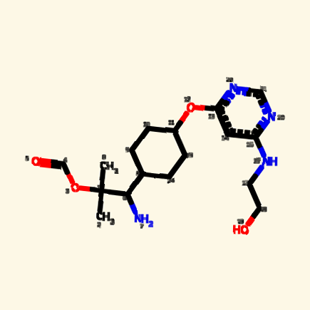 CC(C)(OC=O)C(N)C1CCC(Oc2cc(NCCO)ncn2)CC1